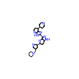 c1cc(-c2ccnc3[nH]c(-c4n[nH]c5ccc(-c6cncc(CN7CCCCC7)c6)nc45)nc23)ccn1